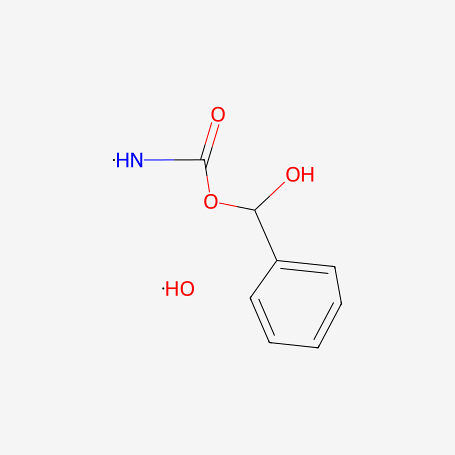 [NH]C(=O)OC(O)c1ccccc1.[OH]